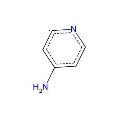 Nc1c[c]ncc1